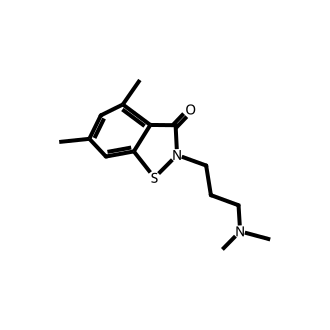 Cc1cc(C)c2c(=O)n(CCCN(C)C)sc2c1